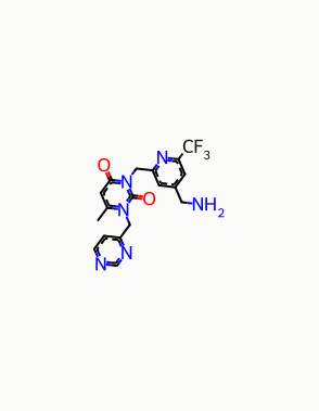 Cc1cc(=O)n(Cc2cc(CN)cc(C(F)(F)F)n2)c(=O)n1Cc1ccncn1